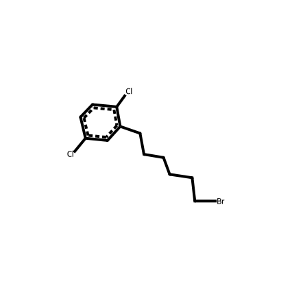 Clc1ccc(Cl)c(CCCCCCBr)c1